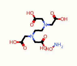 NO.O=C(O)CN(CCN(CC(=O)O)CC(=O)O)CC(=O)O